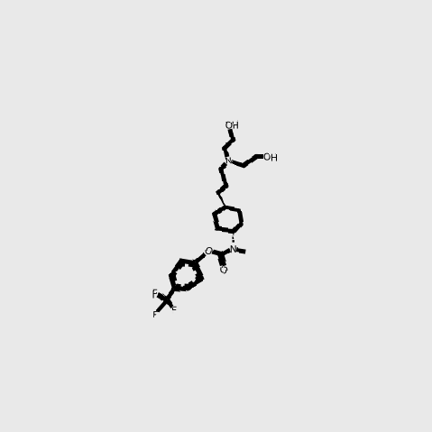 CN(C(=O)Oc1ccc(C(F)(F)F)cc1)[C@H]1CC[C@H](CCCN(CCO)CCO)CC1